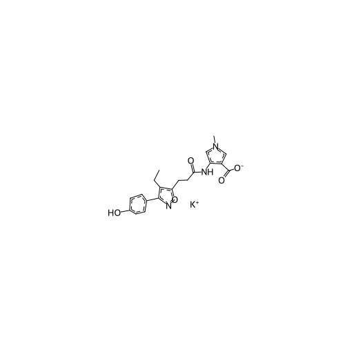 CCc1c(-c2ccc(O)cc2)noc1CCC(=O)Nc1cn(C)cc1C(=O)[O-].[K+]